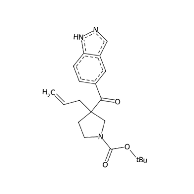 C=CCC1(C(=O)c2ccc3[nH]ncc3c2)CCN(C(=O)OC(C)(C)C)C1